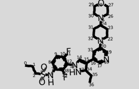 CCCS(=O)(=O)Nc1ccc(F)c(N2C=C(c3cncc(N4CCC(N5CCOCC5)CC4)c3)C(CC)N2)c1F